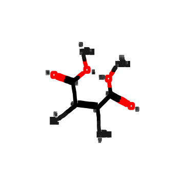 CCCCOC(=O)C(CC)=C(CCCC)C(=O)OCCCC